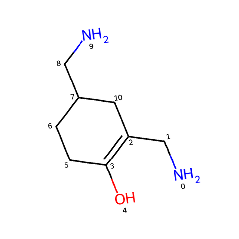 NCC1=C(O)CCC(CN)C1